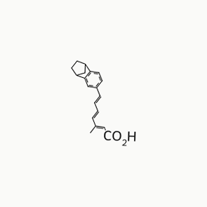 CC(C=CC=Cc1ccc2c(c1)C1CCC2C1)=CC(=O)O